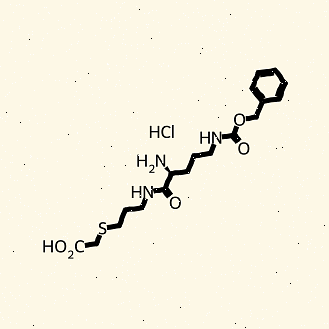 Cl.N[C@@H](CCCNC(=O)OCc1ccccc1)C(=O)NCCCSCC(=O)O